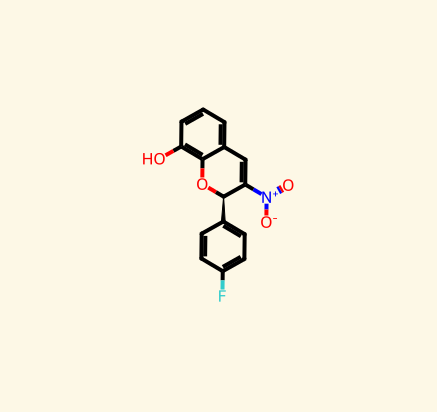 O=[N+]([O-])C1=Cc2cccc(O)c2O[C@@H]1c1ccc(F)cc1